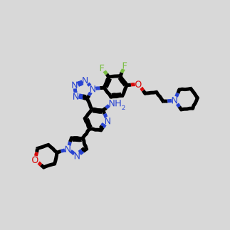 Nc1ncc(-c2cnn(C3CCOCC3)c2)cc1-c1nnnn1-c1ccc(OCCCN2CCCCC2)c(F)c1F